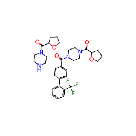 O=C(C1CCCO1)N1CCNCC1.O=C(c1ccc(-c2ccccc2C(F)(F)F)cc1)N1CCN(C(=O)C2CCCO2)CC1